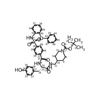 CC(C)(C)OC(=O)N1CCC(CNC(=O)[C@H](Cc2ccc(O)cc2)NC(=O)c2ccc(S(=O)(=O)Nc3ccccc3Oc3ccccc3)cc2)CC1